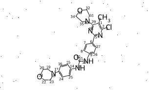 Cc1c(Cl)nc(-c2ccc(NC(=O)Nc3ccc(N4CCOCC4)cc3)cc2)nc1N1CCOCC1